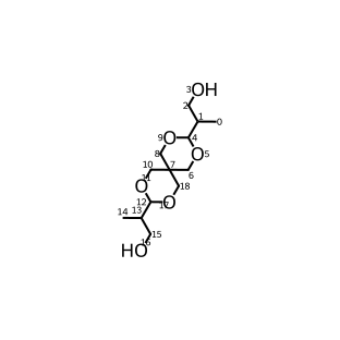 CC(CO)C1OCC2(CO1)COC(C(C)CO)OC2